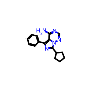 Nc1ncnn2c(C3CCCC3)nc(-c3cc[c]cc3)c12